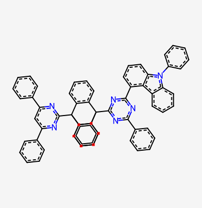 c1ccc(-c2cc(-c3ccccc3)nc(C34c5ccccc5C(c5nc(-c6ccccc6)nc(-c6cccc7c6c6ccccc6n7-c6ccccc6)n5)(c5ccccc53)c3ccccc34)n2)cc1